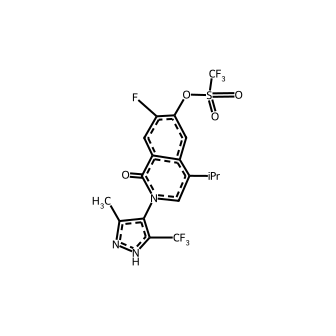 Cc1n[nH]c(C(F)(F)F)c1-n1cc(C(C)C)c2cc(OS(=O)(=O)C(F)(F)F)c(F)cc2c1=O